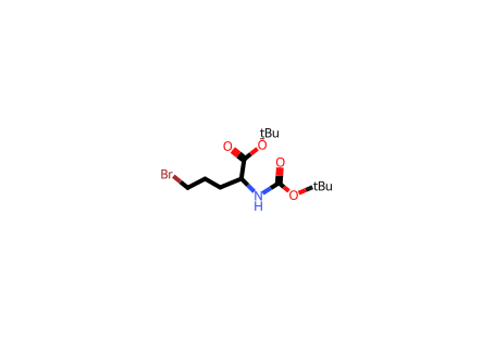 CC(C)(C)OC(=O)NC(CCCBr)C(=O)OC(C)(C)C